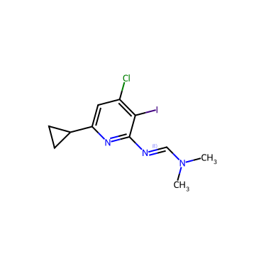 CN(C)/C=N/c1nc(C2CC2)cc(Cl)c1I